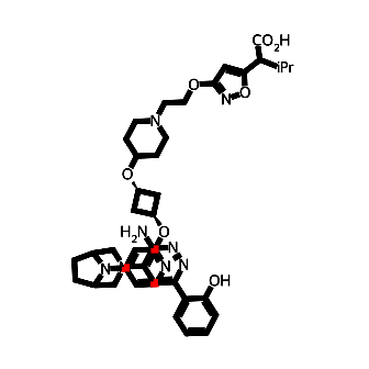 CC(C)C(C(=O)O)c1cc(OCCN2CCC(O[C@H]3C[C@H](Oc4cc(N5C6CCC5CN(c5cc(-c7ccccc7O)nnc5N)C6)ccn4)C3)CC2)no1